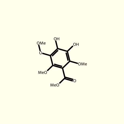 COOc1c(O)c(O)c(OC)c(C(=O)OC)c1OC